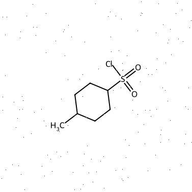 CC1CCC(S(=O)(=O)Cl)CC1